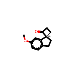 COc1ccc2c(c1)[C@]1(CCC1=O)CC2